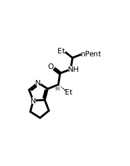 CCCCCC(CC)NC(=O)[C@H](CC)c1ncn2c1CCC2